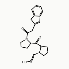 O=C([C@H]1CCCN1C(=O)CC1=Cc2ccccc2C1)N1CCC[C@H]1C=NO